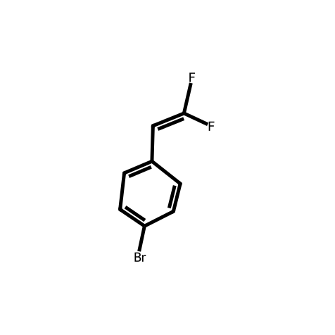 FC(F)=Cc1ccc(Br)cc1